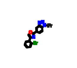 CC(C)n1nnc2cc(-c3nc(-c4ccccc4Br)co3)ccc21